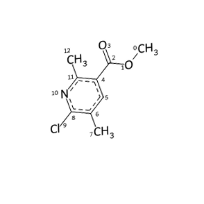 COC(=O)c1cc(C)c(Cl)nc1C